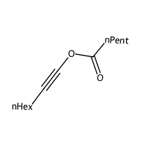 CCCCCCC#COC(=O)CCCCC